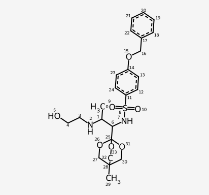 CC(NCCO)C(NS(=O)(=O)c1ccc(OCc2ccccc2)cc1)C12OCC(C)(CO1)CO2